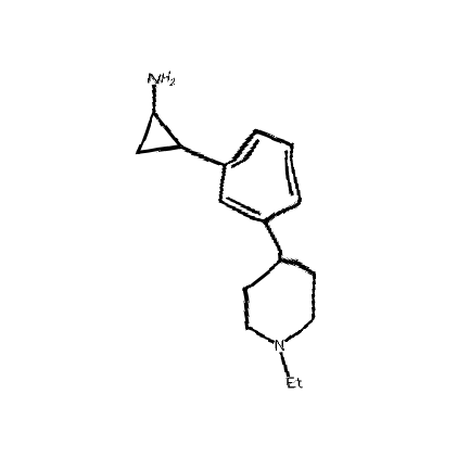 CCN1CCC(c2cccc(C3CC3N)c2)CC1